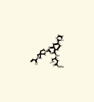 C=CC(=O)N1CC2(CCN(c3nc(NC(CC(=O)NC)CC(C)C)c4ccc(-c5nccs5)cc4n3)C2)C1